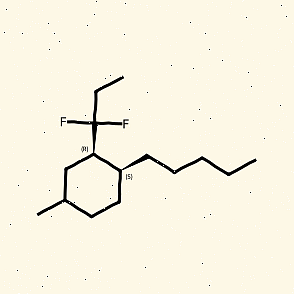 CCCCC[C@H]1CCC(C)C[C@H]1C(F)(F)CC